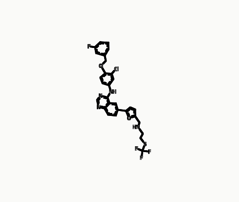 Fc1cccc(COc2ccc(Nc3ncnc4ccc(-c5ccc(CNCCSC(F)(F)F)o5)cc34)cc2Cl)c1